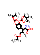 CC(C)C(=O)OCC(C)C(c1ccc(OC(=O)OC(C)C(C)C)c(OC(=O)OC(C)C(C)C)c1)[C@H](N)C(=O)O